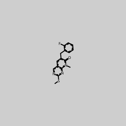 CSc1ncc2cc(Cc3ccccc3F)c(=O)n(C)c2n1